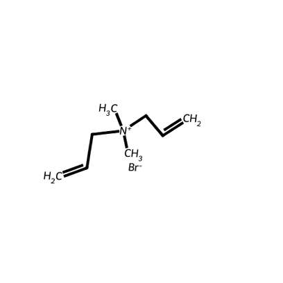 C=CC[N+](C)(C)CC=C.[Br-]